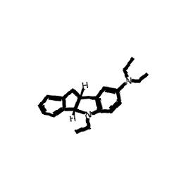 CCN(CC)c1ccc2c(c1)[C@H]1Cc3ccccc3[C@H]1N2CC